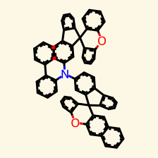 c1ccc(-c2ccccc2N(c2ccc3c(c2)C2(c4ccccc4Oc4ccccc42)c2ccccc2-3)c2ccc3c(c2)C2(c4ccccc4Oc4cc5ccccc5cc42)c2ccccc2-3)cc1